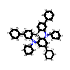 c1ccc(-c2ccc3c(c2)N(c2ccccc2)c2cc(C4CCCCC4)cc4c2B3c2ccc(-c3ccccc3)cc2N4c2ccccc2)cc1